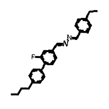 CCCCc1ccc(-c2ccc(C=NN=Cc3ccc(CC)cc3)cc2F)cc1